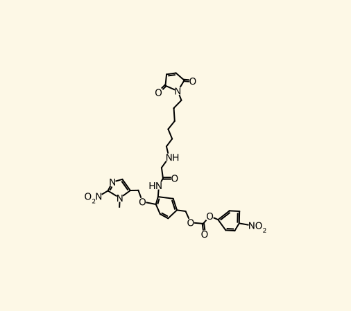 Cn1c(COc2ccc(COC(=O)Oc3ccc([N+](=O)[O-])cc3)cc2NC(=O)CNCCCCCCN2C(=O)C=CC2=O)cnc1[N+](=O)[O-]